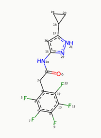 O=C(Cc1c(F)c(F)c(F)c(F)c1F)Nc1cc(C2CC2)[nH]n1